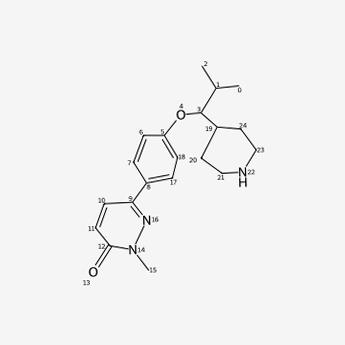 CC(C)C(Oc1ccc(-c2ccc(=O)n(C)n2)cc1)C1CCNCC1